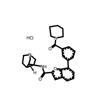 Cl.O=C(N[C@H]1CN2CCC1CC2)c1cc2cccc(-c3cccc(C(=O)N4CCCCC4)c3)c2o1